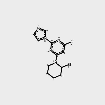 CCC1CCCCN1c1cc(Cl)nc(-n2ccnc2)n1